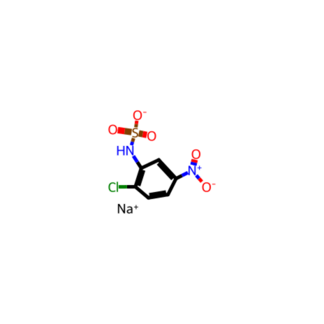 O=[N+]([O-])c1ccc(Cl)c(NS(=O)(=O)[O-])c1.[Na+]